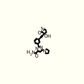 CN1CC[C@@](O)(C#Cc2cccc(-c3nc(C(N)=O)cc(N4CCCC4)n3)c2)C1=O